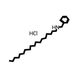 CCCCCCCCCCCCCCCCCCNCc1ccccc1.Cl